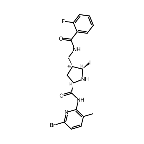 Cc1ccc(Br)nc1NC(=O)[C@@H]1C[C@H](CNC(=O)c2ccccc2F)[C@@H](I)N1